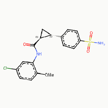 COc1ccc(Cl)cc1NC(=O)[C@H]1C[C@@H]1c1ccc(S(N)(=O)=O)cc1